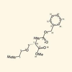 CNCCOC[C@H](NC(=O)OCc1ccccc1)C(=O)OC